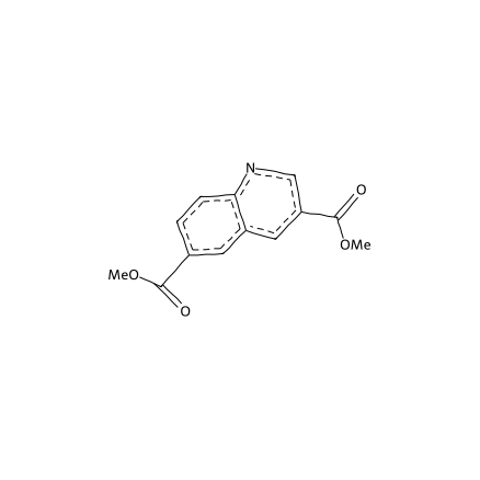 COC(=O)c1ccc2ncc(C(=O)OC)cc2c1